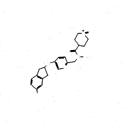 CN(C(=O)C1CCS(=O)(=O)CC1)[C@@H](c1ccc(NC2Cc3ccc(F)cc3C2)cn1)C(F)(F)F